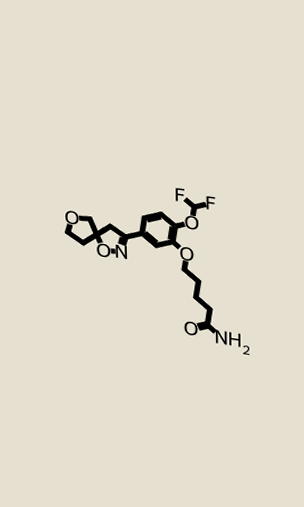 NC(=O)CCCCOc1cc(C2=NOC3(CCOC3)C2)ccc1OC(F)F